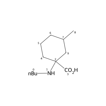 CCCCNC1(C(=O)O)CCCC(C)C1